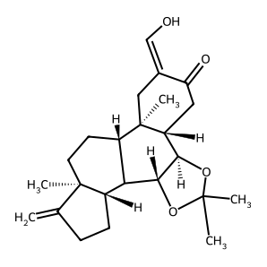 C=C1CC[C@H]2C3[C@H]4OC(C)(C)O[C@@H]4[C@H]4CC(=O)C(=CO)C[C@]4(C)[C@H]3CC[C@]12C